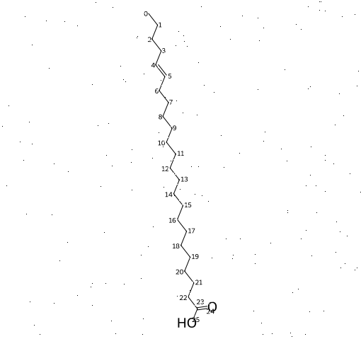 CCCCC=CCCCCCCCCCCCCCCCCCC(=O)O